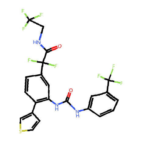 O=C(Nc1cccc(C(F)(F)F)c1)Nc1cc(C(F)(F)C(=O)NCC(F)(F)F)ccc1-c1ccsc1